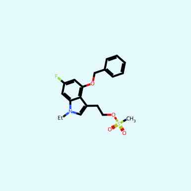 CCn1cc(CCOS(C)(=O)=O)c2c(OCc3ccccc3)cc(F)cc21